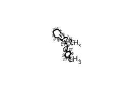 CCN(CC1CCS2(CCCCCCCC2)C1)C(=O)COc1ccc(C)cc1